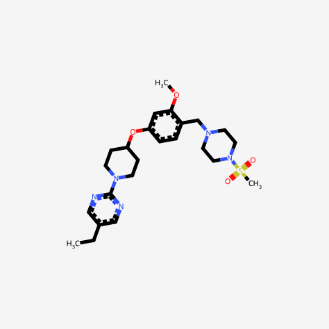 CCc1cnc(N2CCC(Oc3ccc(CN4CCN(S(C)(=O)=O)CC4)c(OC)c3)CC2)nc1